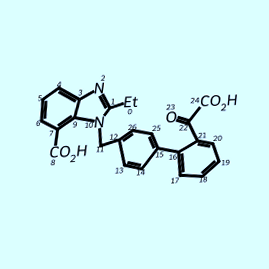 CCc1nc2cccc(C(=O)O)c2n1Cc1ccc(-c2ccccc2C(=O)C(=O)O)cc1